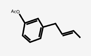 CC=CCc1cccc(OC(C)=O)c1